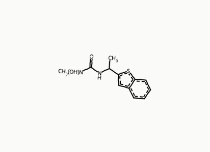 CC(NC(=O)N(C)O)c1cc2ccccc2s1